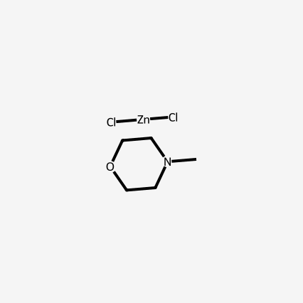 CN1CCOCC1.[Cl][Zn][Cl]